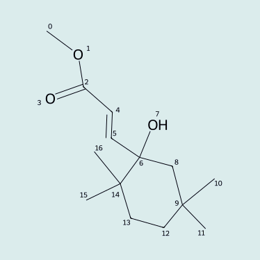 COC(=O)C=CC1(O)CC(C)(C)CCC1(C)C